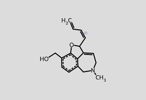 C=C/C=C\C1Oc2c(CO)ccc3c2C1=CCN(C)C3